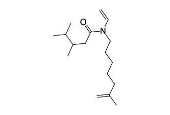 C=CN(CCCCCC(=C)C)C(=O)CC(C)C(C)C